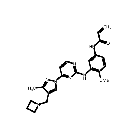 C=CC(=O)Nc1ccc(OC)c(Nc2nccc(-n3cc(CN4CCC4)c(C)n3)n2)c1